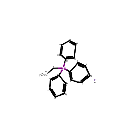 CCCCCCCCCCC[P+](c1ccccc1)(c1ccccc1)c1ccccc1.[I-]